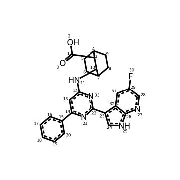 O=C(O)C1C2CCC(CC2)C1Nc1cc(-c2ccccc2)nc(-c2c[nH]c3ncc(F)cc23)n1